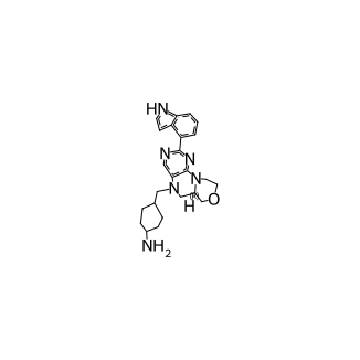 NC1CCC(CN2C[C@@H]3COCCN3c3nc(-c4cccc5[nH]ccc45)ncc32)CC1